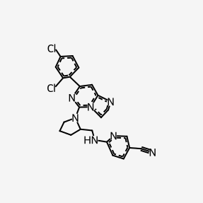 N#Cc1ccc(NCC2CCCN2c2nc(-c3ccc(Cl)cc3Cl)cc3nccn23)nc1